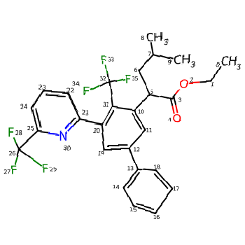 CCOC(=O)C(CC(C)C)c1cc(-c2ccccc2)cc(-c2cccc(C(F)(F)F)n2)c1C(F)(F)F